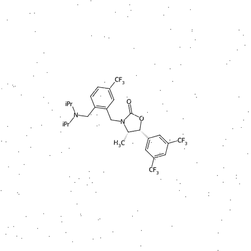 CC(C)N(Cc1ccc(C(F)(F)F)cc1CN1C(=O)O[C@H](c2cc(C(F)(F)F)cc(C(F)(F)F)c2)[C@@H]1C)C(C)C